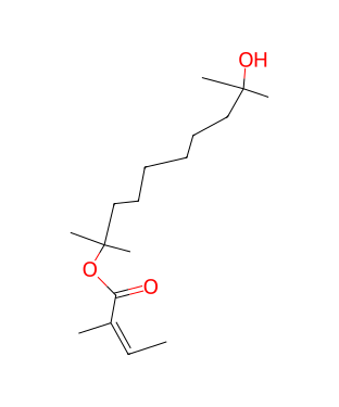 CC=C(C)C(=O)OC(C)(C)CCCCCCC(C)(C)O